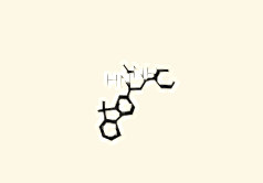 C/C=C\C(=C/C)C1CC(c2ccc3c(c2)C(C)(C)c2ccccc2-3)NC(C)N1